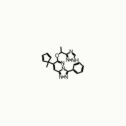 CC(Oc1nn2c(-c3ccccc3)nnc2cc1C1(C)C=CC=C1)c1nc[nH]n1